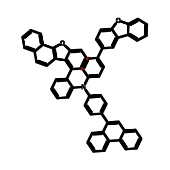 c1ccc(N(c2ccc(-c3ccc4oc5ccccc5c4c3)cc2)c2ccc(-c3cc4ccccc4c4ccccc34)cc2)c(-c2cccc3oc4c5ccccc5ccc4c23)c1